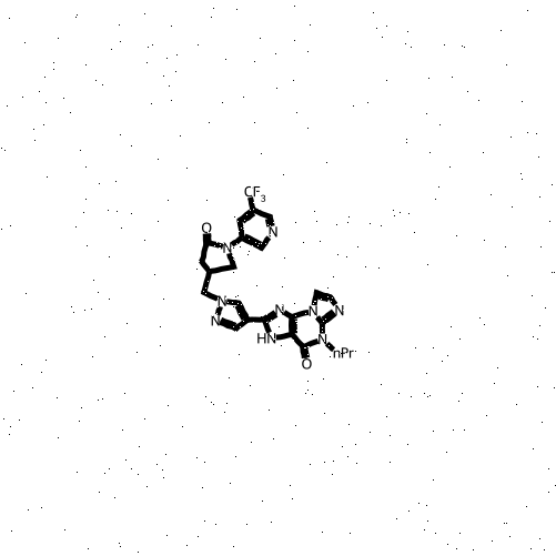 CCCn1c(=O)c2[nH]c(-c3cnn(CC4CC(=O)N(c5cncc(C(F)(F)F)c5)C4)c3)nc2n2ccnc12